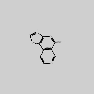 N#Cc1nc2nc[nH]c2c2ccncc12